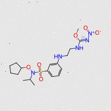 CO/C(=N\[N+](=O)[O-])NCCNc1cccc(S(=O)(=O)N(OC2CCCC2)C(C)C)c1